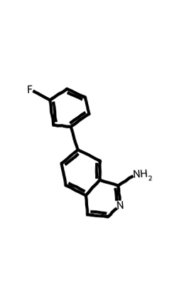 Nc1nccc2ccc(-c3cccc(F)c3)cc12